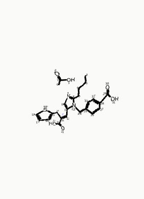 CC(=O)O.CCCCc1ncc(/C=C(\Cc2cccs2)C(=O)O)n1Cc1ccc(C(=O)O)cc1